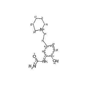 NC(=O)Nc1cc(CCN2CCCCC2)ccc1O